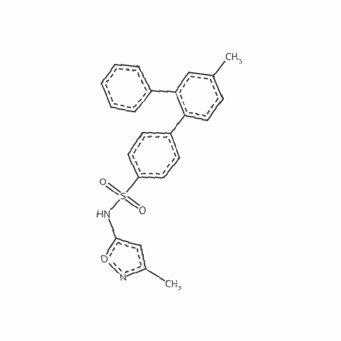 Cc1ccc(-c2ccc(S(=O)(=O)Nc3cc(C)no3)cc2)c(-c2ccccc2)c1